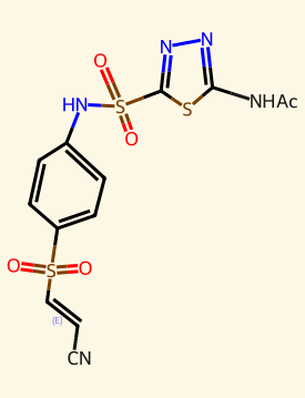 CC(=O)Nc1nnc(S(=O)(=O)Nc2ccc(S(=O)(=O)/C=C/C#N)cc2)s1